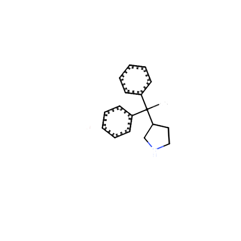 Br.N#CC(c1ccccc1)(c1ccccc1)C1CCNC1